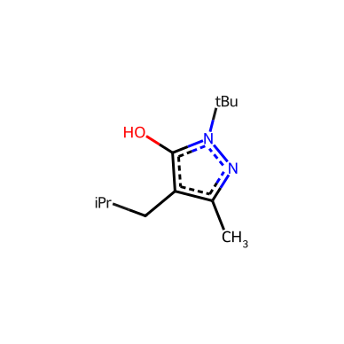 Cc1nn(C(C)(C)C)c(O)c1CC(C)C